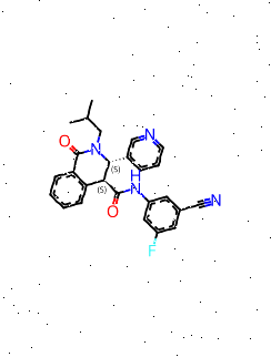 CC(C)CN1C(=O)c2ccccc2[C@H](C(=O)Nc2cc(F)cc(C#N)c2)[C@H]1c1cccnc1